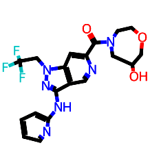 O=C(c1cc2c(cn1)c(Nc1ccccn1)nn2CC(F)(F)F)N1CCOCC(O)C1